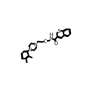 Cc1cccc(N2CCN(CCCCNC(=O)C3=Cc4ccccc4SC3)CC2)c1C